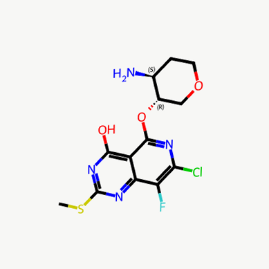 CSc1nc(O)c2c(O[C@H]3COCC[C@@H]3N)nc(Cl)c(F)c2n1